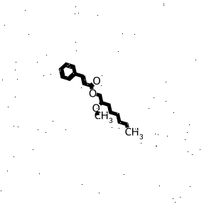 CCCCCCC(COC(=O)C=Cc1ccccc1)OC